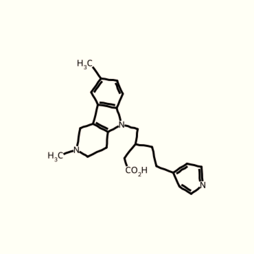 Cc1ccc2c(c1)c1c(n2CC(CCc2ccncc2)CC(=O)O)CCN(C)C1